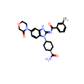 NC(=O)[C@H]1CC[C@@H](n2/c(=N/C(=O)c3cccc(C(F)(F)F)c3)[nH]c3cc(N4CCOCC4=O)ccc32)CC1